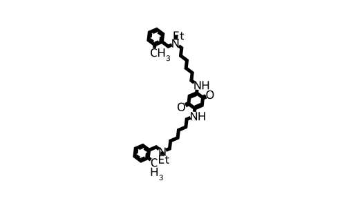 CCN(CCCCCCNC1=CC(=O)C(NCCCCCCN(CC)Cc2ccccc2C)=CC1=O)Cc1ccccc1C